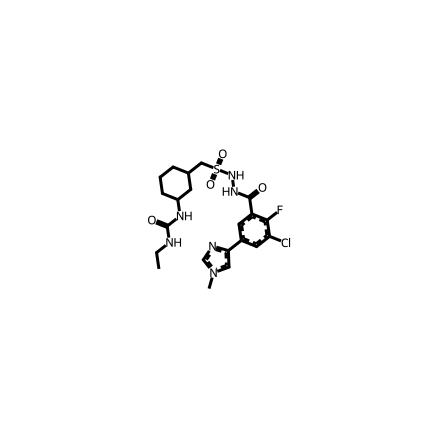 CCNC(=O)NC1CCCC(CS(=O)(=O)NNC(=O)c2cc(-c3cn(C)cn3)cc(Cl)c2F)C1